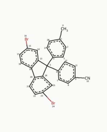 Cc1ccc(C2(c3ccc(C#N)cc3)c3cc(Br)ccc3-c3ccc(Br)cc32)cc1